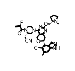 C=C(F)C(=O)N1CCN(c2nc(OC[C@@H]3CCCN3C)nc3c2CO[C@H](c2c(Cl)c(C)cc4[nH]ncc24)C3)C[C@@H]1CC#N